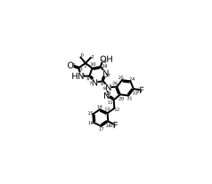 CC1(C)C(=O)Nc2nc(-n3nc(Cc4ccccc4F)c4cc(F)ccc43)nc(O)c21